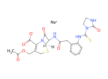 CC(=O)OCC1=C(C(=O)[O-])N2C(=O)C(NC(=O)Cc3ccccc3NC(=S)N3CCNC3=O)[C@H]2SC1.[Na+]